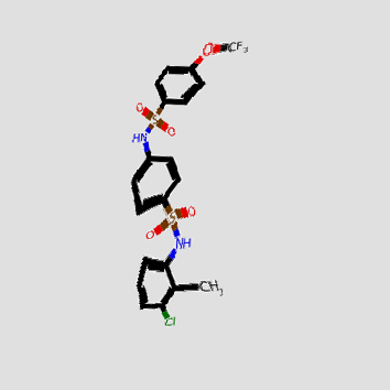 Cc1c(Cl)cccc1NS(=O)(=O)c1ccc(NS(=O)(=O)c2ccc(OC(F)(F)F)cc2)cc1